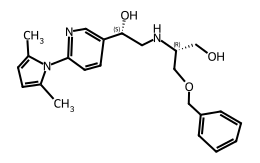 Cc1ccc(C)n1-c1ccc([C@H](O)CN[C@H](CO)COCc2ccccc2)cn1